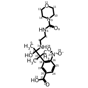 CC(O)(NCCNC(=O)N1CCOCC1)C(C)(C)c1cc(C(=O)O)ccc1[N+](=O)[O-]